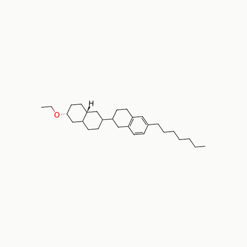 CCCCCCCc1ccc2c(c1)CCC(C1CCC3C[C@H](OCC)CC[C@@H]3C1)C2